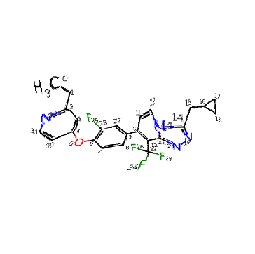 CCc1cc(Oc2ccc(-c3ccn4c(CC5CC5)nnc4c3C(F)(F)F)cc2F)ccn1